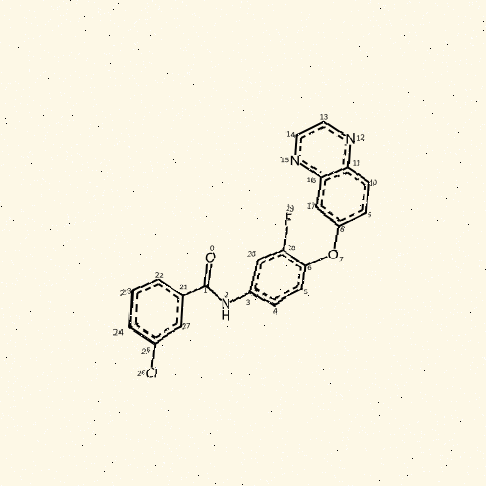 O=C(Nc1ccc(Oc2ccc3nccnc3c2)c(F)c1)c1cccc(Cl)c1